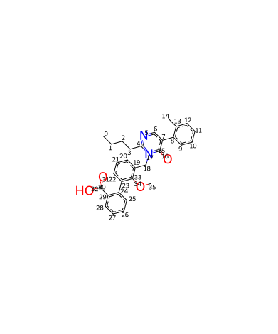 CCCCc1ncc(-c2ccccc2C)c(=O)n1Cc1cccc(-c2ccccc2C(=O)O)c1OC